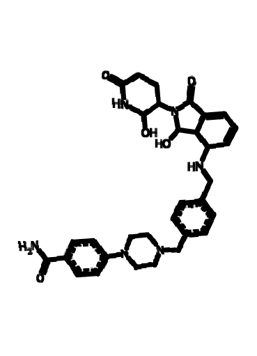 NC(=O)c1ccc(N2CCN(Cc3ccc(CNC4C=CC=C5C(=O)N(C6CCC(=O)NC6O)C(O)C54)cc3)CC2)cc1